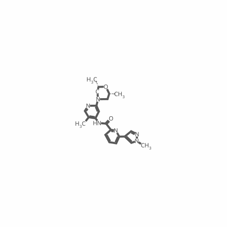 Cc1cnc(N2C[C@@H](C)O[C@@H](C)C2)cc1NC(=O)c1cccc(-c2cnn(C)c2)n1